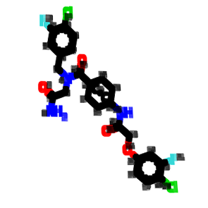 NC(=O)CN(Cc1ccc(Cl)c(F)c1)C(=O)C12CCC(NC(=O)COc3ccc(Cl)c(F)c3)(CC1)CC2